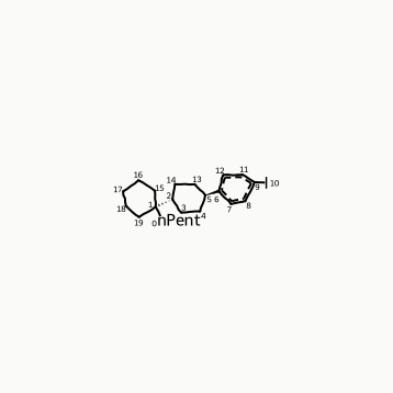 CCCCCC1([C@H]2CC[C@H](c3ccc(I)cc3)CC2)CCCCC1